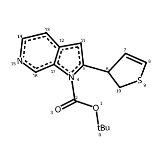 CC(C)(C)OC(=O)n1c(C2C=CSC2)cc2ccncc21